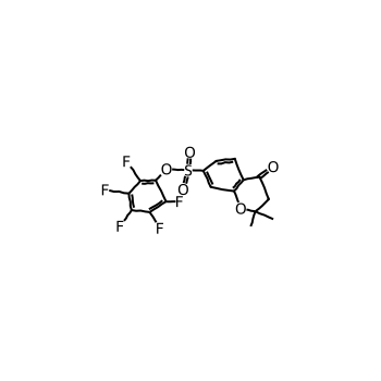 CC1(C)CC(=O)c2ccc(S(=O)(=O)Oc3c(F)c(F)c(F)c(F)c3F)cc2O1